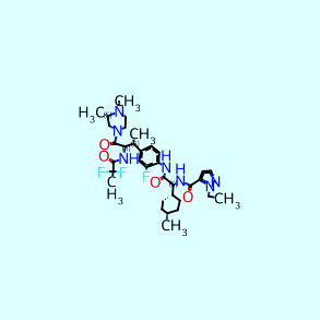 CCn1nccc1C(=O)N[C@H](C(=O)Nc1ccc([C@H](C)[C@@H](NC(=O)C(C)(F)F)C(=O)N2CCN(C)[C@@H](C)C2)cc1F)[C@H]1CC[C@H](C)CC1